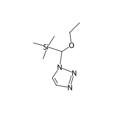 CCOC(n1ccnn1)[Si](C)(C)C